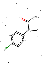 CNC(=O)[C@@H](C)c1ccc(F)cc1